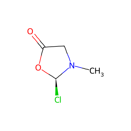 CN1CC(=O)O[C@@H]1Cl